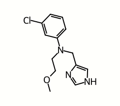 COCCN(Cc1c[nH]cn1)c1cccc(Cl)c1